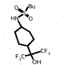 CCC(C)S(=O)(=O)NC1CCC(C(O)(C(F)(F)F)C(F)(F)F)CC1